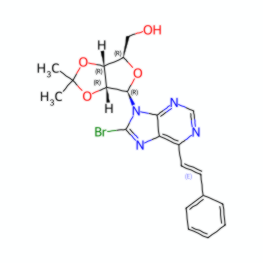 CC1(C)O[C@@H]2[C@H](O1)[C@@H](CO)O[C@H]2n1c(Br)nc2c(/C=C/c3ccccc3)ncnc21